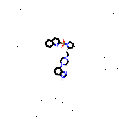 O=S(=O)(c1ccc2ccccc2n1)N1CCC[C@@H]1CCN1CCN(c2cccc3[nH]cnc23)CC1